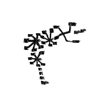 N#[C][Fe-3]([C]#N)([C]#N)([C]#N)([C]#N)[C]#N.N#[C][Fe-3]([C]#N)([C]#N)([C]#N)([C]#N)[C]#N.N#[C][Fe-3]([C]#N)([C]#N)([C]#N)([C]#N)[C]#N.O=C([O-])CC(O)(CC(=O)[O-])C(=O)[O-].[Fe+3].[Fe+3].[Fe+3].[N+].[N+].[N+]